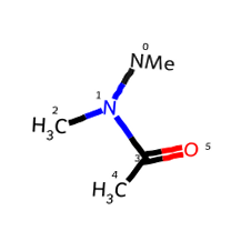 CNN(C)C(C)=O